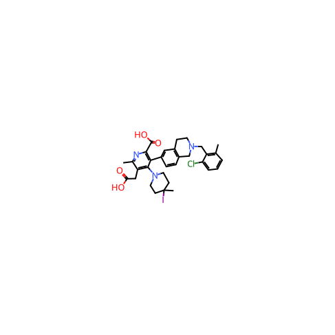 Cc1cccc(Cl)c1CN1CCc2cc(-c3c(C(=O)O)nc(C)c(CC(=O)O)c3N3CCC(C)(I)CC3)ccc2C1